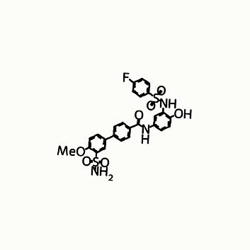 COc1ccc(-c2ccc(C(=O)Nc3ccc(O)c(NS(=O)(=O)c4ccc(F)cc4)c3)cc2)cc1S(N)(=O)=O